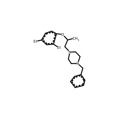 CCc1ccc(OC(C)CN2CCN(Cc3ccccc3)CC2)c(CC)c1